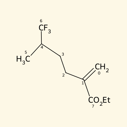 C=C(CCC(C)C(F)(F)F)C(=O)OCC